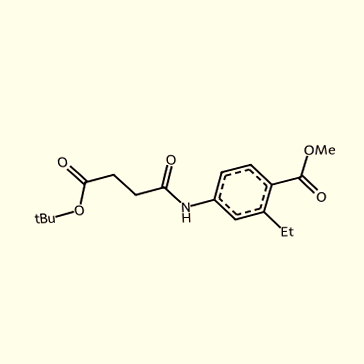 CCc1cc(NC(=O)CCC(=O)OC(C)(C)C)ccc1C(=O)OC